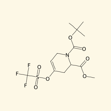 COC(=O)C1CC(OS(=O)(=O)C(F)(F)F)=CCN1C(=O)OC(C)(C)C